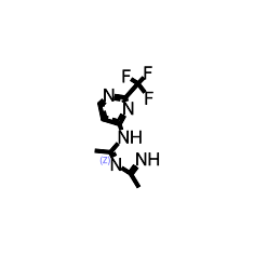 CC(=N)/N=C(/C)Nc1ccnc(C(F)(F)F)n1